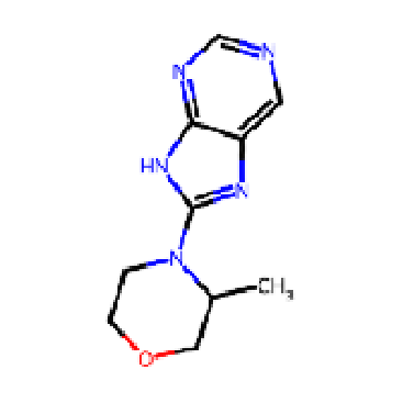 CC1COCCN1c1nc2cncnc2[nH]1